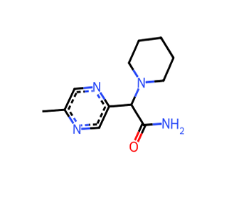 Cc1cnc(C(C(N)=O)N2CCCCC2)cn1